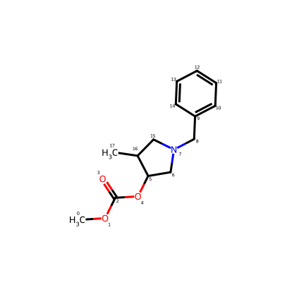 COC(=O)OC1CN(Cc2ccccc2)CC1C